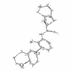 N#Cc1c(NC(=O)c2nc3n(n2)CCNC3)cccc1-c1ccc2c(c1)OCCO2